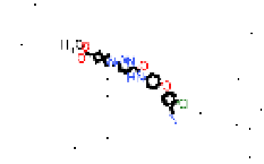 COC(=O)C1CC2(C1)CN(c1ccc(C(=O)NC3CCC(Oc4ccc(C#N)c(Cl)c4)CC3)nn1)C2